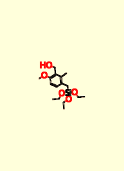 CCO[Si](Cc1ccc(OC)c(CO)c1C)(OCC)OCC